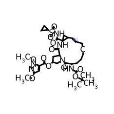 COc1cc(C(=O)OC2CC3C(=O)NC4(C(=O)NS(=O)(=O)C5CC5)CC4/C=C/CCCCCC(NC(=O)OC(C)(C)C)C(=O)N3C2)n(OC)n1